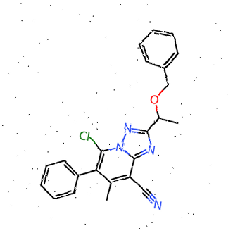 Cc1c(-c2ccccc2)c(Cl)n2nc(C(C)OCc3ccccc3)nc2c1C#N